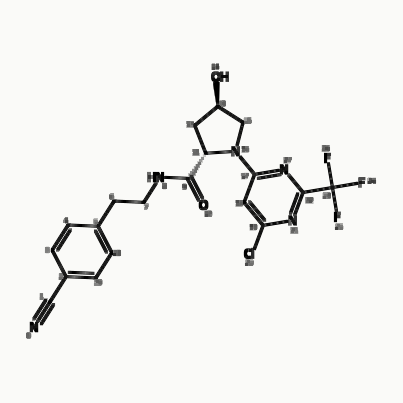 N#Cc1ccc(CCNC(=O)[C@@H]2C[C@@H](O)CN2c2cc(Cl)nc(C(F)(F)F)n2)cc1